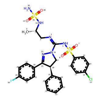 C[C@@H](C/N=C(/NS(=O)(=O)c1ccc(Cl)cc1)N1C[C@@H](c2ccccc2)C(c2ccc(F)cc2)=N1)NS(N)(=O)=O